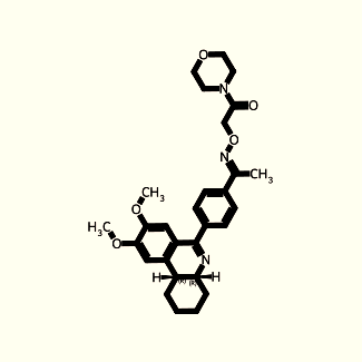 COc1cc2c(cc1OC)[C@H]1CCCC[C@H]1N=C2c1ccc(C(C)=NOCC(=O)N2CCOCC2)cc1